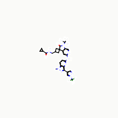 [2H]C([2H])([2H])N1C(=O)C2(CC(CNC(=O)C3CC3)C2)c2cc(Nc3ccc4c(n3)c(-c3cnn(C(F)(F)F)c3)nn4C)ncc21